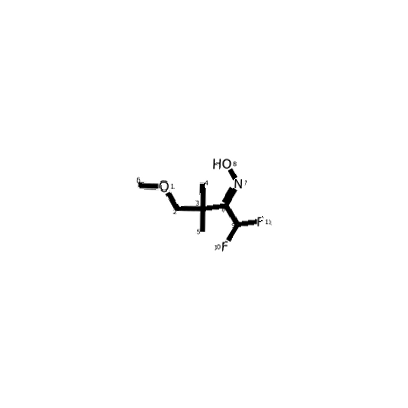 COCC(C)(C)/C(=N\O)C(F)F